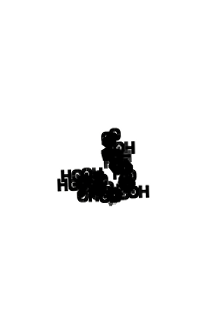 CC(=O)O[C@H]1C[C@H](O[C@@H]2[C@@H](C)C[C@@H](O[C@H]3[C@@H](O)C[C@H](O[C@H]4CC[C@@]5(C)[C@H](CC[C@@H]6[C@@H]5C[C@@H](O)[C@]5(C)[C@@H](C7COC(=O)C7)CC[C@]65O)C4)O[C@@H]3C)C[C@@H]2O)O[C@H](C)[C@H]1O[C@@H]1O[C@H](CO)[C@@H](O)[C@H](O)[C@H]1O